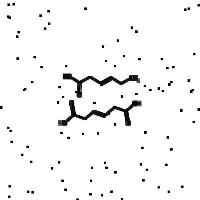 CCC=CCC(=O)O.O=C(O)CC=CCC(=O)O